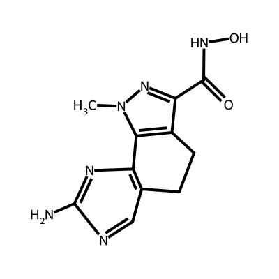 Cn1nc(C(=O)NO)c2c1-c1nc(N)ncc1CC2